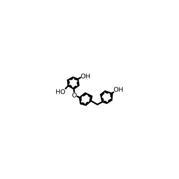 Oc1ccc(Cc2ccc(Oc3cc(O)ccc3O)cc2)cc1